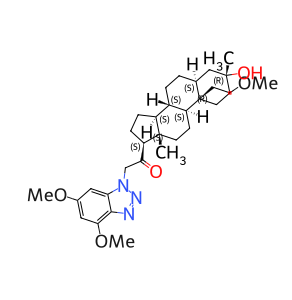 COCC[C@]12CC[C@@](C)(O)C[C@@H]1CC[C@H]1[C@@H]3CC[C@H](C(=O)Cn4nnc5c(OC)cc(OC)cc54)[C@@]3(C)CC[C@@H]12